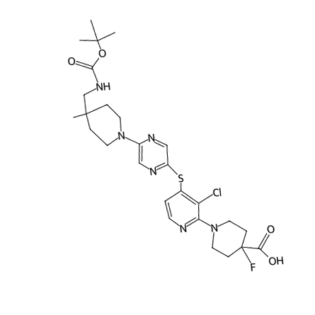 CC1(CNC(=O)OC(C)(C)C)CCN(c2cnc(Sc3ccnc(N4CCC(F)(C(=O)O)CC4)c3Cl)cn2)CC1